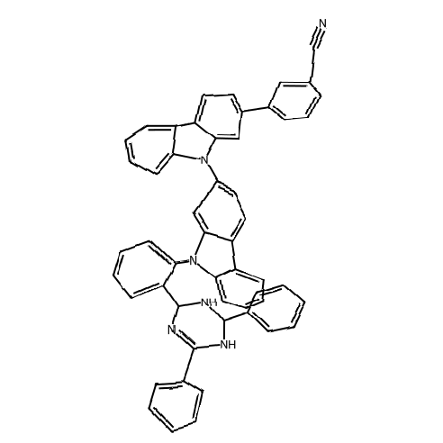 N#Cc1cccc(-c2ccc3c4ccccc4n(-c4ccc5c6ccccc6n(-c6ccccc6C6N=C(c7ccccc7)NC(c7ccccc7)N6)c5c4)c3c2)c1